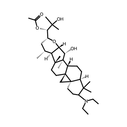 CCN(CC)C1CC[C@]23C[C@]24CC[C@]2(C)[C@@H]5[C@H](O[C@@H]([C@H](OC(C)=O)C(C)(C)O)C[C@H]5C)[C@H](O)[C@@]2(C)[C@@H]4CC[C@H]3C1(C)C